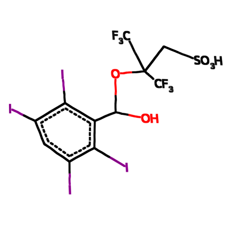 O=S(=O)(O)CC(OC(O)c1c(I)c(I)cc(I)c1I)(C(F)(F)F)C(F)(F)F